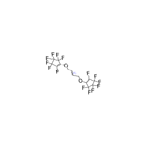 FC1=C(OC/C=C/COC2=C(F)C(F)(F)C(F)(F)C2(F)F)C(F)(F)C(F)(F)C1(F)F